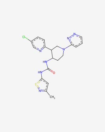 Cc1cc(NC(=O)NC2CCN(c3cccnn3)CC2c2ccc(Cl)cn2)sn1